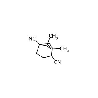 CC1=C(C)C2(C#N)CCC1(C#N)CC2